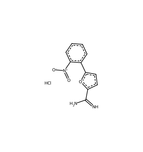 Cl.N=C(N)c1ccc(-c2ccccc2[N+](=O)[O-])o1